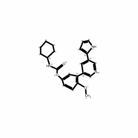 COc1ccc(OC(=O)NC2CCCCC2)cc1-c1cncc(-c2ccc[nH]2)c1